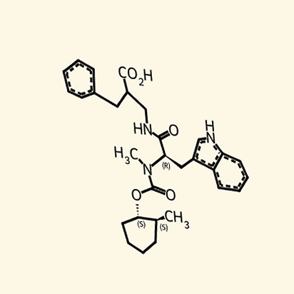 C[C@H]1CCCC[C@@H]1OC(=O)N(C)[C@H](Cc1c[nH]c2ccccc12)C(=O)NCC(Cc1ccccc1)C(=O)O